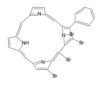 BrC1=Cc2cc3ccc(cc4nc(cc5c(-c6ccccc6)c(Br)c(c(Br)c1n2)n5Br)C=C4)[nH]3